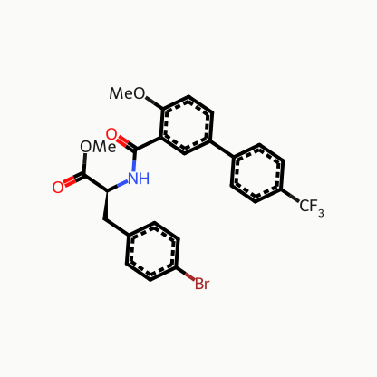 COC(=O)[C@H](Cc1ccc(Br)cc1)NC(=O)c1cc(-c2ccc(C(F)(F)F)cc2)ccc1OC